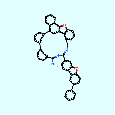 N/C1=N\C(c2ccc3c(c2)oc2ccc(-c4ccccc4)cc23)=N/Cc2cccc3oc4c5ccccc5c(cc4c23)-c2cccc(c2)-c2cccc1c2